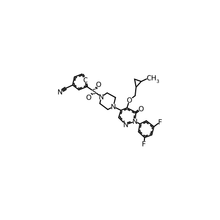 CC1CC1COc1c(N2CCN(S(=O)(=O)c3cccc(C#N)c3)CC2)cnn(-c2cc(F)cc(F)c2)c1=O